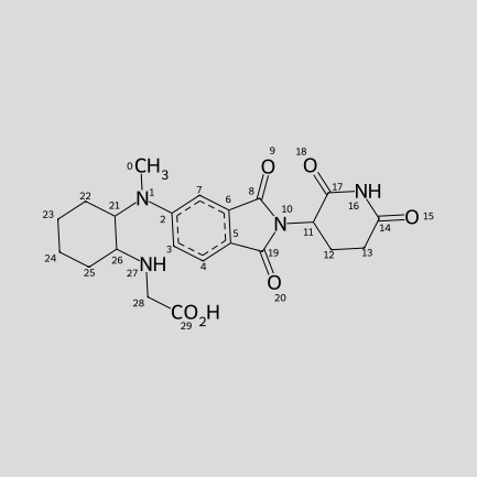 CN(c1ccc2c(c1)C(=O)N(C1CCC(=O)NC1=O)C2=O)C1CCCCC1NCC(=O)O